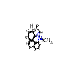 C/C=N\c1cccc2ccc3cccc(/N=C\C)c3c12